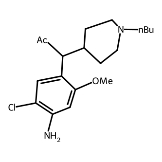 CCCCN1CCC(C(C(C)=O)c2cc(Cl)c(N)cc2OC)CC1